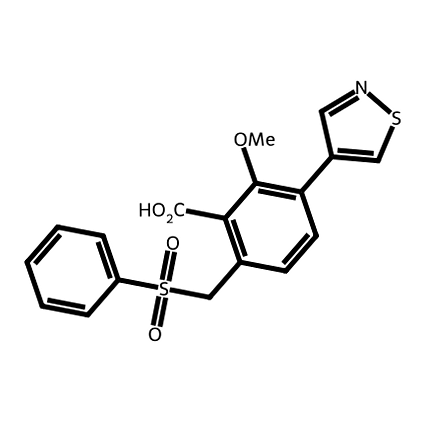 COc1c(-c2cnsc2)ccc(CS(=O)(=O)c2ccccc2)c1C(=O)O